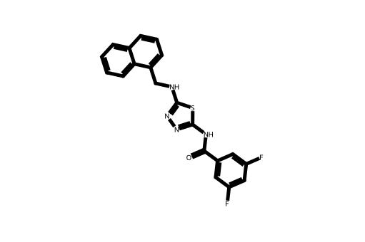 O=C(Nc1nnc(NCc2cccc3ccccc23)s1)c1cc(F)cc(F)c1